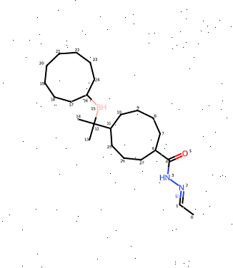 C/C=N/NC(=O)C1CCCCC(C(C)(C)BC2CCCCCCCC2)CCC1